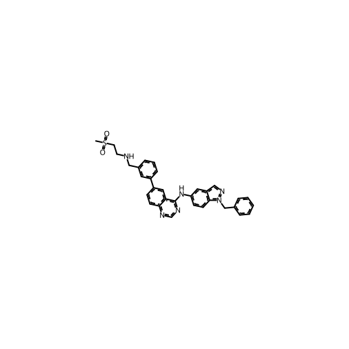 CS(=O)(=O)CCNCc1cccc(-c2ccc3ncnc(Nc4ccc5c(cnn5Cc5ccccc5)c4)c3c2)c1